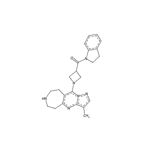 Cc1cnn2c(N3CC(C(=O)N4CCc5ccccc54)C3)c3c(nc12)CCNCC3